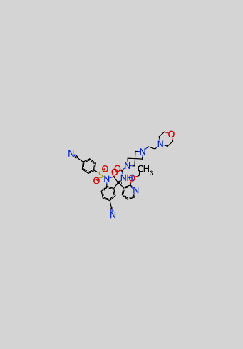 CCOc1ncccc1[C@@]1(NC(=O)N2CC3(CN(CCN4CCOCC4)C3)C2)C(=O)N(S(=O)(=O)c2ccc(C#N)cc2)c2ccc(C#N)cc21